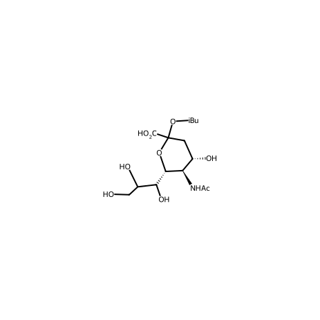 CCC(C)OC1(C(=O)O)C[C@H](O)[C@@H](NC(C)=O)[C@H](C(O)C(O)CO)O1